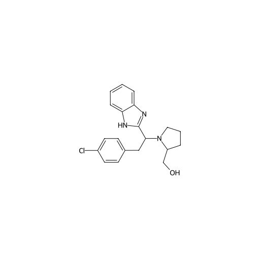 OCC1CCCN1C(Cc1ccc(Cl)cc1)c1nc2ccccc2[nH]1